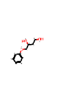 OCCC(O)COc1ccccc1